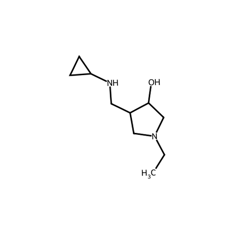 CCN1CC(O)C(CNC2CC2)C1